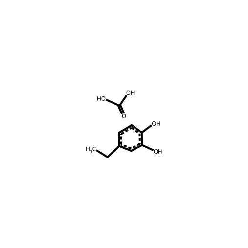 CCc1ccc(O)c(O)c1.O=C(O)O